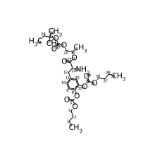 CCCCOC(=O)Oc1ccc(C[C@H](N)C(=O)O[C@@H](C)COC(=O)OC(C)(C)CC)cc1OC(=O)OCCCC